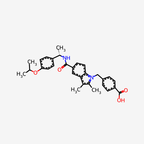 Cc1c(C)n(Cc2ccc(C(=O)O)cc2)c2ccc(C(=O)N[C@@H](C)c3ccc(OC(C)C)cc3)cc12